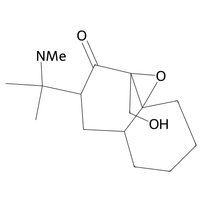 CNC(C)(C)C1CC2CCCCC23OC3(CO)C1=O